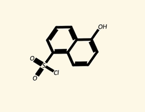 O=S(=O)(Cl)c1cccc2c(O)cccc12